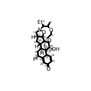 CCC1C(C)OCC(=O)[C@@]23ON1C[C@@H]2C[C@H]1[C@@H]2C[C@H](F)C4=CC(=O)C=C[C@]4(C)[C@@]2(F)[C@@H](O)C[C@@]13C